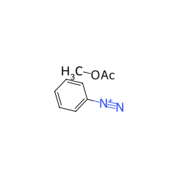 COC(C)=O.N#[N+]c1ccccc1